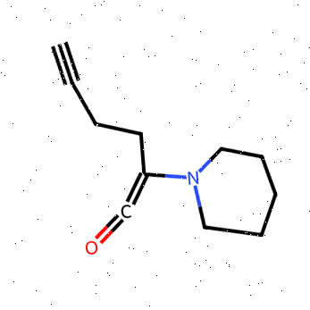 [C]#CCCC(=C=O)N1CCCCC1